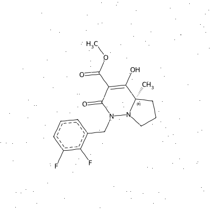 COC(=O)C1=C(O)[C@@]2(C)CCCN2N(Cc2cccc(F)c2F)C1=O